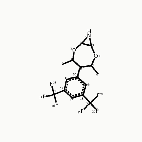 CC1OC2NC2OC(C)C1c1cc(C(F)(F)F)cc(C(F)(F)F)c1